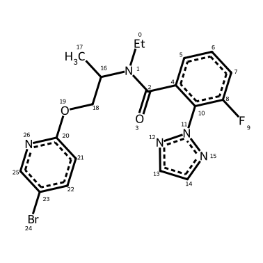 CCN(C(=O)c1cccc(F)c1-n1nccn1)C(C)COc1ccc(Br)cn1